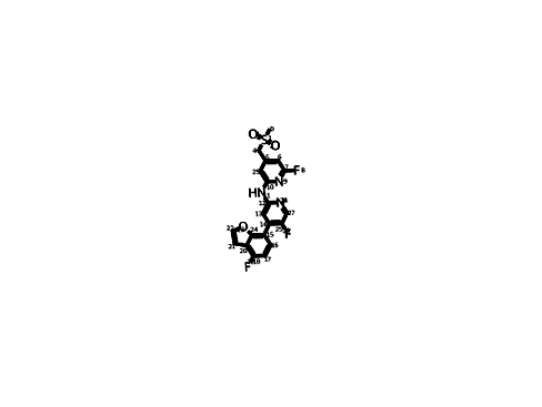 CS(=O)(=O)Cc1cc(F)nc(Nc2cc(-c3ccc(F)c4ccoc34)c(F)cn2)c1